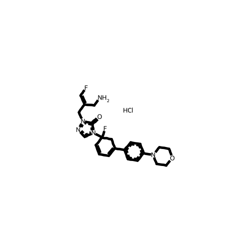 Cl.NC/C(=C\F)Cn1ncn(C2(F)C=CC=C(c3ccc(N4CCOCC4)cc3)C2)c1=O